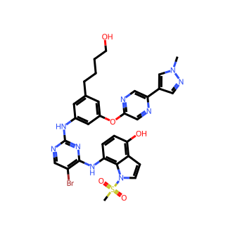 Cn1cc(-c2cnc(Oc3cc(CCCCO)cc(Nc4ncc(Br)c(Nc5ccc(O)c6ccn(S(C)(=O)=O)c56)n4)c3)cn2)cn1